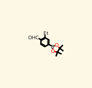 CCc1cc(B2OC(C)(C)C(C)(C)O2)ccc1C=O